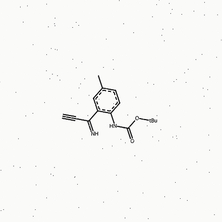 C#CC(=N)c1cc(C)ccc1NC(=O)OC(C)(C)C